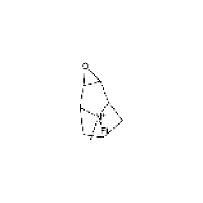 CC[N+]1(C)C2CCCC1C1OC12